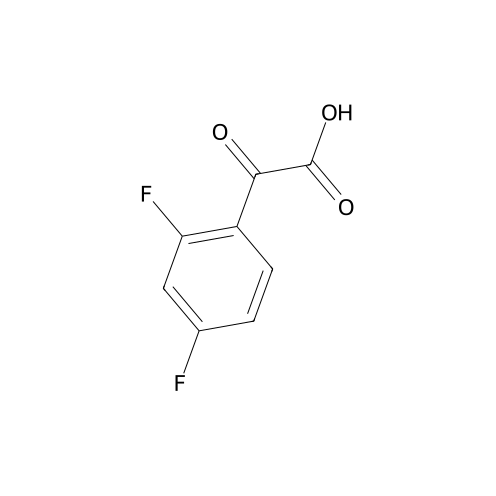 O=C(O)C(=O)c1ccc(F)cc1F